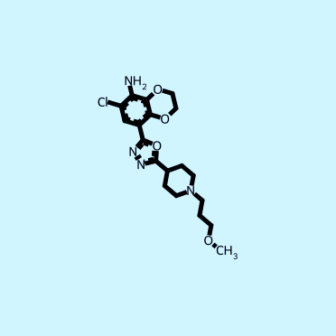 COCCCN1CCC(c2nnc(-c3cc(Cl)c(N)c4c3OCCO4)o2)CC1